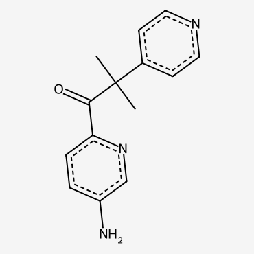 CC(C)(C(=O)c1ccc(N)cn1)c1ccncc1